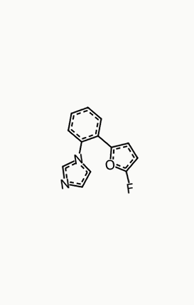 Fc1ccc(-c2ccccc2-n2ccnc2)o1